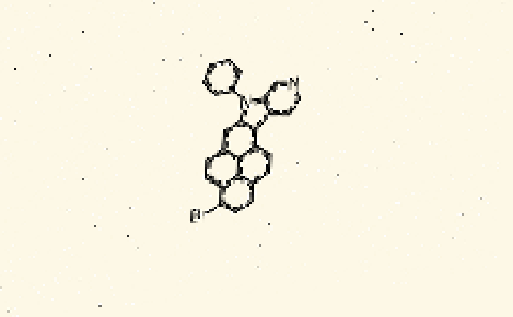 Brc1ccc2ccc3c4c(ccc1c24)cc1c3c2ccncc2n1-c1ccccc1